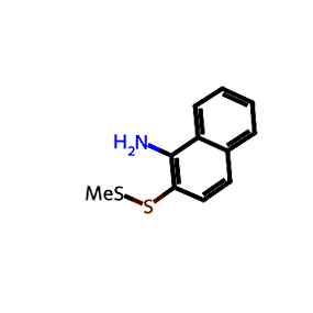 CSSc1ccc2ccccc2c1N